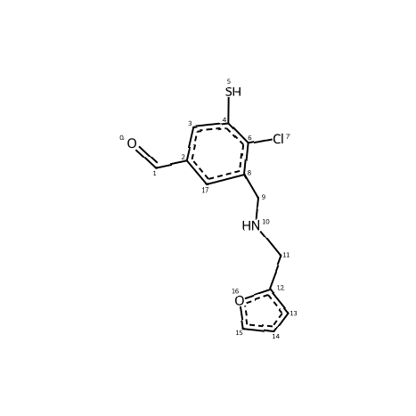 O=Cc1cc(S)c(Cl)c(CNCc2ccco2)c1